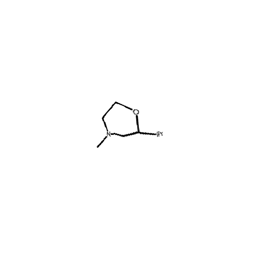 CC(C)C1CN(C)CCO1